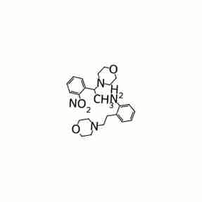 CC(c1ccccc1[N+](=O)[O-])N1CCOCC1.Nc1ccccc1CCN1CCOCC1